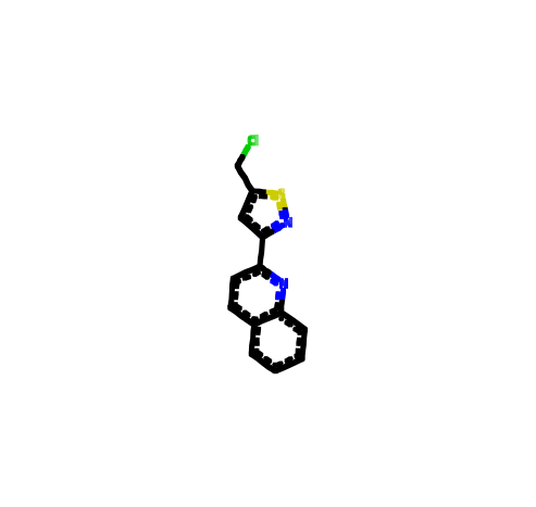 ClCc1cc(-c2ccc3ccccc3n2)ns1